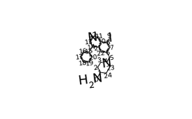 NC1CCN(Cc2cc(I)c3cncc(-c4ccccc4)c3c2)CC1